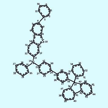 c1ccc(-c2ccc3c(c2)sc2cc(N(c4ccccc4)c4ccc(-c5ccc(C6(c7ccccc7)c7ccccc7-c7ccccc76)cc5)cc4)ccc23)cc1